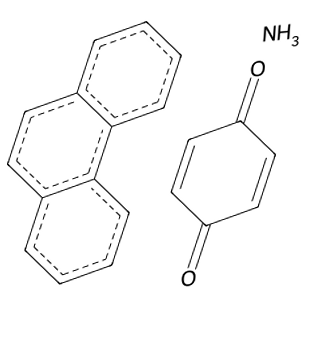 N.O=C1C=CC(=O)C=C1.c1ccc2c(c1)ccc1ccccc12